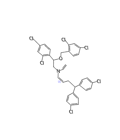 C=CN(/C=C\CC(c1ccc(Cl)cc1)c1ccc(Cl)cc1)CC(OCc1ccc(Cl)cc1Cl)c1ccc(Cl)cc1Cl